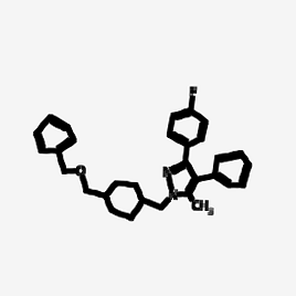 Cc1c(-c2ccccc2)c(-c2ccc(F)cc2)nn1CC1CCC(COCc2ccccc2)CC1